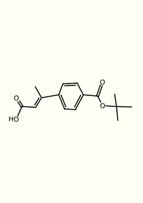 CC(=CC(=O)O)c1ccc(C(=O)OC(C)(C)C)cc1